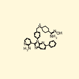 CN(Cc1ccc(-n2c(-c3cccnc3N)nc3ccc(-c4ccccc4)nc32)cc1)C1CCC(/C(N)=N/O)CC1